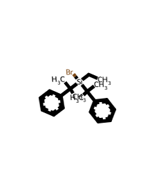 CC[Si](Br)(C(C)(C)c1ccccc1)C(C)(C)c1ccccc1